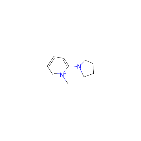 C[n+]1ccccc1N1CCCC1